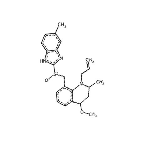 C=CCN1c2c(C[S+]([O-])c3nc4cc(C)ccc4[nH]3)cccc2C(OC)CC1C